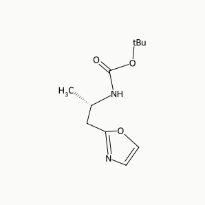 C[C@@H](Cc1ncco1)NC(=O)OC(C)(C)C